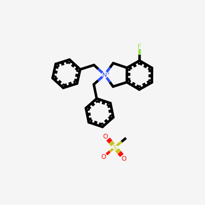 CS(=O)(=O)[O-].Fc1cccc2c1C[N+](Cc1ccccc1)(Cc1ccccc1)C2